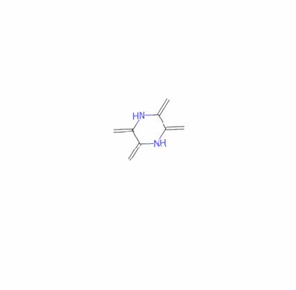 C=C1NC(=C)C(=C)NC1=C